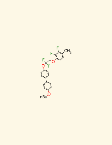 CCCCOc1ccc(-c2ccc(OC(F)(F)COc3ccc(C)c(F)c3F)cc2)cc1